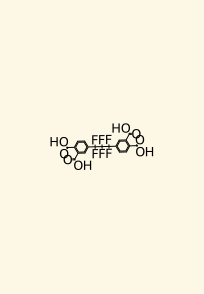 O=C(O)c1ccc(C(F)(F)C(F)(F)C(F)(F)c2ccc(C(=O)O)c(C(=O)O)c2)cc1C(=O)O